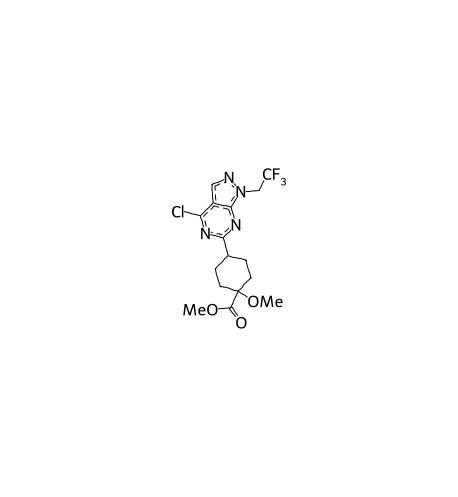 COC(=O)C1(OC)CCC(c2nc(Cl)c3cnn(CC(F)(F)F)c3n2)CC1